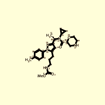 COC(=O)NCCCc1cc([C@@H](C)N(C(=O)[C@H]2CNCCO2)C2CC2)nn1-c1ccc(C)cc1